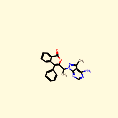 Cc1nn(C(C)c2oc(=O)c3ccccc3c2-c2ccccc2)c2ncnc(N)c12